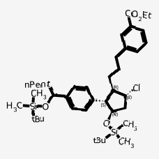 CCCCCC(O[Si](C)(C)C(C)(C)C)c1ccc([C@@H]2[C@@H](CCCc3cccc(C(=O)OCC)c3)[C@H](Cl)C[C@H]2O[Si](C)(C)C(C)(C)C)cc1